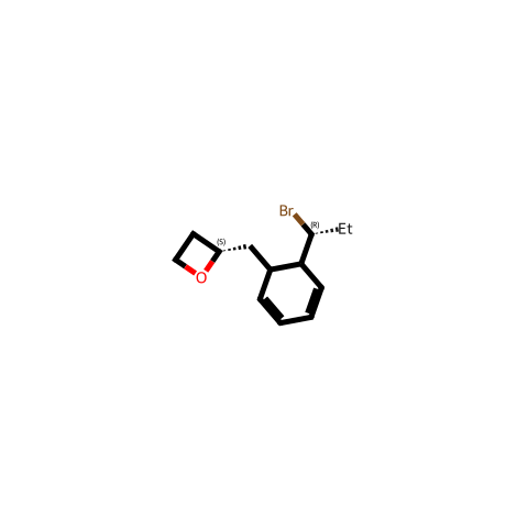 CC[C@@H](Br)C1C=CC=CC1C[C@H]1CCO1